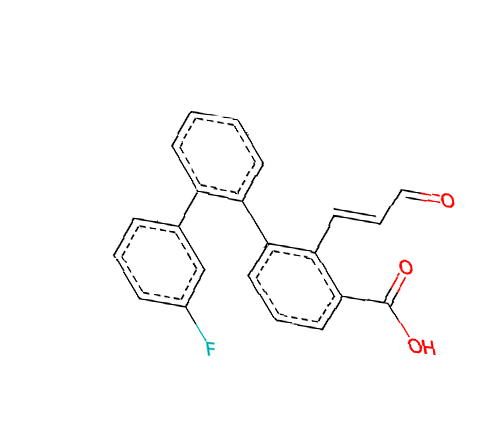 O=CC=Cc1c(C(=O)O)cccc1-c1ccccc1-c1cccc(F)c1